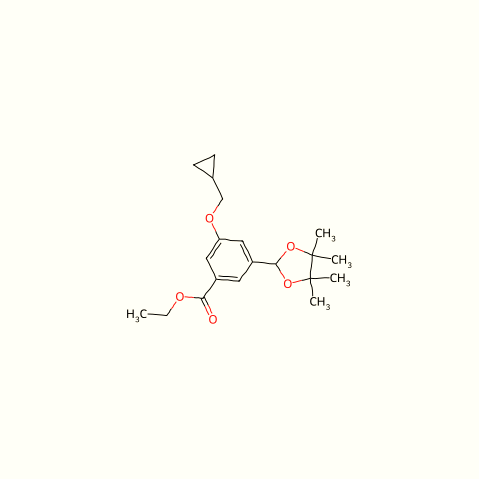 CCOC(=O)c1cc(OCC2CC2)cc(C2OC(C)(C)C(C)(C)O2)c1